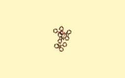 c1ccc(-c2ccc(-n3c4ccccc4c4cccc(-n5c6cc(-c7ccccc7)ccc6c6ccc([Si](c7ccccc7)(c7ccccc7)c7ccccc7)cc65)c43)cc2)cc1